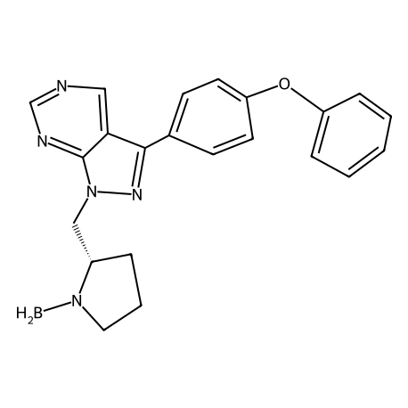 BN1CCC[C@H]1Cn1nc(-c2ccc(Oc3ccccc3)cc2)c2cncnc21